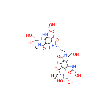 CN(CC(O)CO)C(=O)c1c(I)c(NC(=O)CO)c(I)c(C(=O)NCCCN(CCO)C(=O)c2c(I)c(NC(=O)CO)c(I)c(C(=O)N(C)CC(O)CO)c2I)c1I